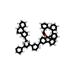 c1ccc(-c2cc(-c3cccc(-c4ccc5c(c4)-c4ccccc4C54c5ccccc5-c5ccccc5-c5ccccc5-c5ccccc54)c3)nc(-c3ccc4c(ccc5ccccc54)c3)n2)cc1